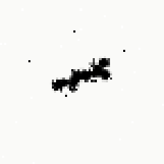 COc1cc2c(Oc3ccc(NC(=O)c4cc(-c5ccccc5)cn(Cc5ccccc5)c4=O)cc3F)ccnc2cc1OCCCN1CCOCC1